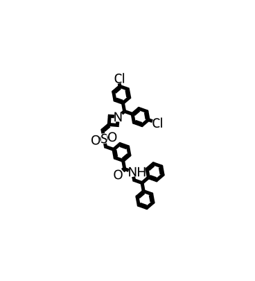 O=C(NCC(c1ccccc1)c1ccccc1)c1cccc(CS(=O)(=O)C=C2CN(C(c3ccc(Cl)cc3)c3ccc(Cl)cc3)C2)c1